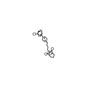 O=C1C2CCCC(O2)C(=O)N1CCCCN1CCN(c2cncc(Cl)n2)CC1